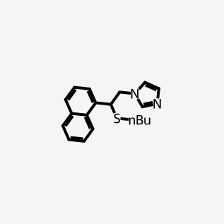 CCCCSC(Cn1ccnc1)c1cccc2ccccc12